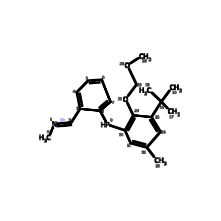 C/N=C/c1ccccc1Pc1cc(C)cc(C(C)(C)C)c1OCOC